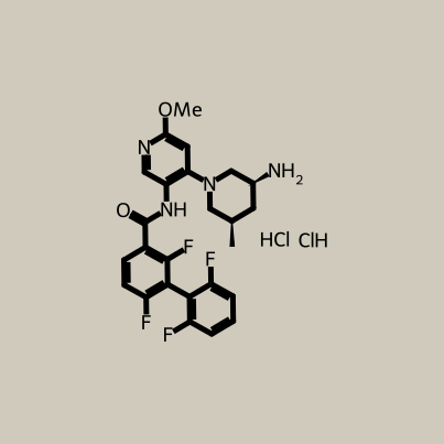 COc1cc(N2C[C@H](C)C[C@H](N)C2)c(NC(=O)c2ccc(F)c(-c3c(F)cccc3F)c2F)cn1.Cl.Cl